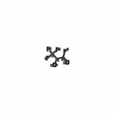 [O]C(C(=O)F)C(F)(F)F